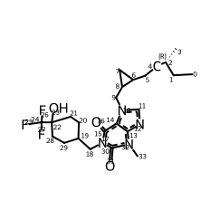 CC[C@@H](C)CCC1CC1Cn1cnc2c1c(=O)n(CC1CCC(O)(C(F)(F)F)CC1)c(=O)n2C